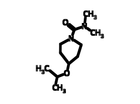 CC(C)OC1CCN(C(=O)N(C)C)CC1